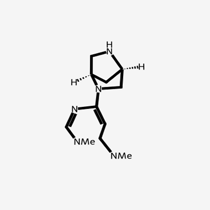 CN/C=N\C(=C/CNC)N1C[C@H]2C[C@@H]1CN2